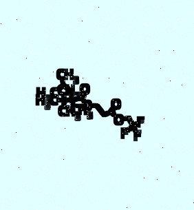 CC(C)CC(C)(C(=O)OCCC(=O)OCC(F)(F)F)C(C)(C)C